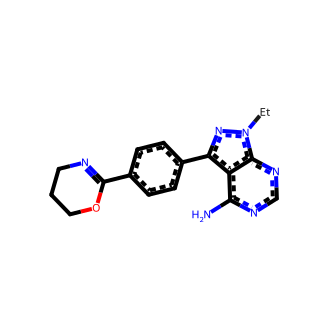 [CH2]Cn1nc(-c2ccc(C3=NCCCO3)cc2)c2c(N)ncnc21